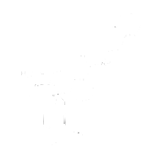 CN1CCc2cc(Cl)c(O)cc2[C@H]2c3cccc(C(=O)NCCc4ccccn4)c3CC[C@@H]21